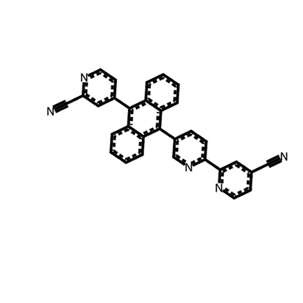 N#Cc1ccnc(-c2ccc(-c3c4ccccc4c(-c4ccnc(C#N)c4)c4ccccc34)cn2)c1